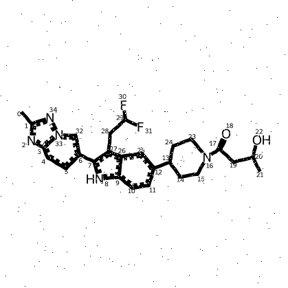 Cc1nc2ccc(-c3[nH]c4ccc(C5CCN(C(=O)CC(C)O)CC5)cc4c3CC(F)F)cn2n1